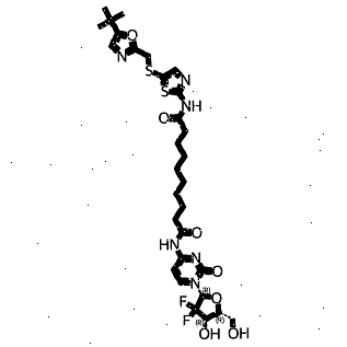 CC(C)(C)c1cnc(CSc2cnc(NC(=O)CCCCCCCCC(=O)Nc3ccn([C@@H]4O[C@H](CO)[C@@H](O)C4(F)F)c(=O)n3)s2)o1